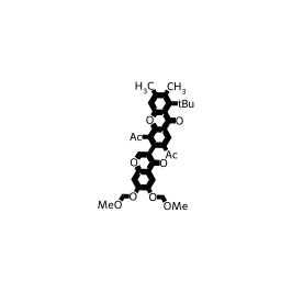 COCOc1cc2occ(-c3c(C(C)=O)cc4c(=O)c5c(C(C)(C)C)c(C)c(C)cc5oc4c3C(C)=O)c(=O)c2cc1OCOC